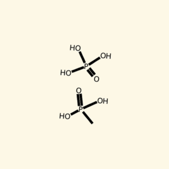 CP(=O)(O)O.O=P(O)(O)O